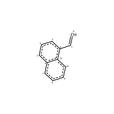 [CH]=Cc1cccc2ccccc12